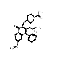 COc1ccc2c(=O)n(CC3CCN(C(C)=O)CC3)c(CN(C)C)c(-c3ccccc3)c2c1